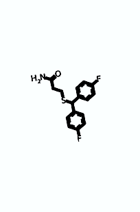 NC(=O)CCSC(c1ccc(F)cc1)c1ccc(F)cc1